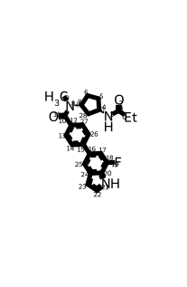 CCC(=O)N[C@H]1CC[C@@H](N(C)C(=O)c2ccc(-c3cc(F)c4[nH]ccc4c3)cc2)C1